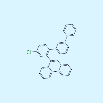 Clc1ccc(-c2cccc(-c3ccccc3)c2)c(-c2cc3ccccc3c3ccccc23)c1